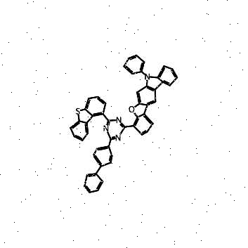 c1ccc(-c2ccc(-c3nc(-c4cccc5c4oc4cc6c(cc45)c4ccccc4n6-c4ccccc4)nc(-c4cccc5sc6ccccc6c45)n3)cc2)cc1